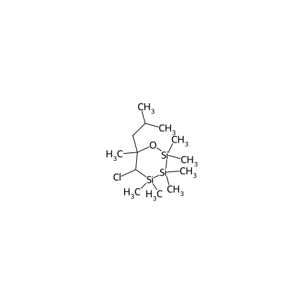 CC(C)CC1(C)O[Si](C)(C)[Si](C)(C)[Si](C)(C)C1Cl